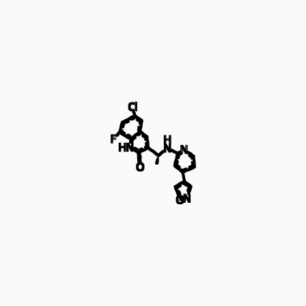 C[C@H](Nc1cc(-c2cnoc2)ccn1)c1cc2cc(Cl)cc(F)c2[nH]c1=O